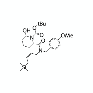 COc1ccc(CN(C/C=C\C[Si](C)(C)C)C(=O)[C@@H]2CCCC(O)N2C(=O)OC(C)(C)C)cc1